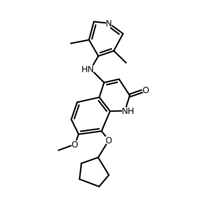 COc1ccc2c(Nc3c(C)cncc3C)cc(=O)[nH]c2c1OC1CCCC1